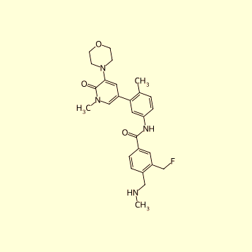 CNCc1ccc(C(=O)Nc2ccc(C)c(-c3cc(N4CCOCC4)c(=O)n(C)c3)c2)cc1CF